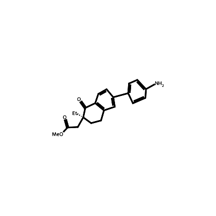 CC[C@@]1(CC(=O)OC)CCc2cc(-c3ccc(N)cc3)ccc2C1=O